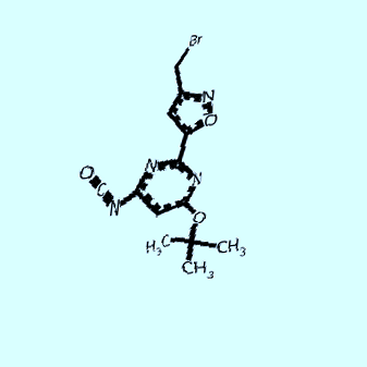 CC(C)(C)Oc1cc(N=C=O)nc(-c2cc(CBr)no2)n1